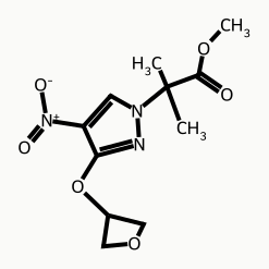 COC(=O)C(C)(C)n1cc([N+](=O)[O-])c(OC2COC2)n1